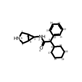 O=C(NC1C2CNCC21)C(c1ccccc1)C1CCCCC1